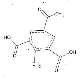 CC(=O)c1cc(C(=O)O)c(C)c(C(=O)O)c1